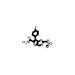 NC(=O)c1sc2cnc(C[SH](=O)=O)nc2c1-c1ccc(F)cc1